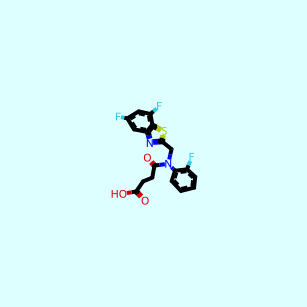 O=C(O)CCC(=O)N(Cc1nc2cc(F)cc(F)c2s1)c1ccccc1F